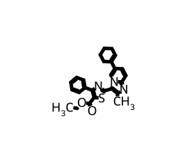 CCOC(=O)c1sc(-c2c(C)nc3ccc(C4=CCCCC4)cn23)nc1-c1ccccc1